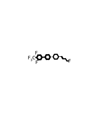 FCCC=C[C@H]1CC[C@H](c2ccc(-c3cc(F)c(C(F)(F)F)c(F)c3)cc2)CC1